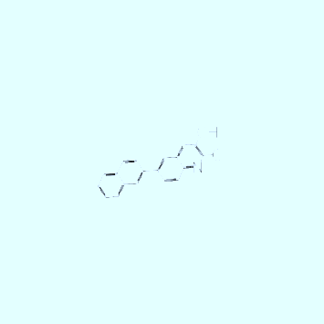 Cc1cc2cc(-c3ccc4ccccc4c3)ccc2nc1Cl